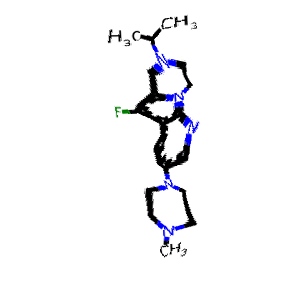 CC(C)N1CCn2c(c(F)c3cc(N4CCN(C)CC4)cnc32)C1